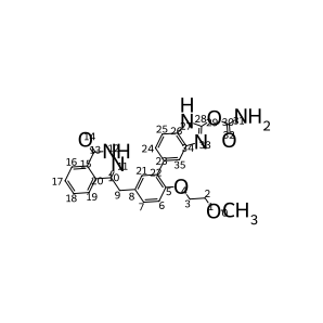 COCCOc1ccc(Cc2n[nH]c(=O)c3ccccc23)cc1-c1ccc2[nH]c(OC(N)=O)nc2c1